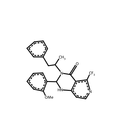 COc1ccccc1C1Nc2ccnc(C(F)(F)F)c2C(=O)N1C(C)Cc1ccccc1